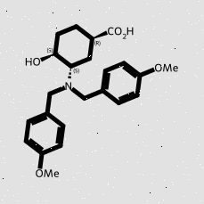 COc1ccc(CN(Cc2ccc(OC)cc2)[C@H]2C[C@H](C(=O)O)CC[C@@H]2O)cc1